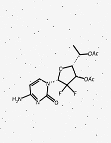 CC(=O)OC(C)[C@H]1O[C@@H](n2ccc(N)nc2=O)C(F)(F)C1OC(C)=O